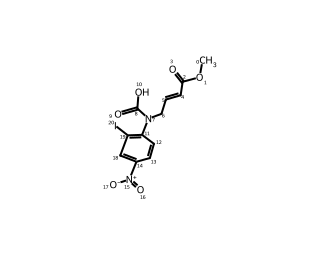 COC(=O)C=CCN(C(=O)O)c1ccc([N+](=O)[O-])cc1I